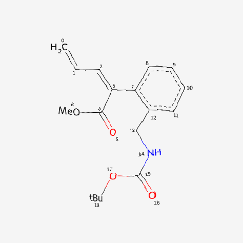 C=CC=C(C(=O)OC)c1ccccc1CNC(=O)OC(C)(C)C